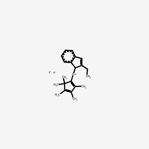 CCC1=Cc2ccccc2[CH]1[Zr+2][C]1=C(C)C(C)=C(C)C1(C)C.[F-].[F-]